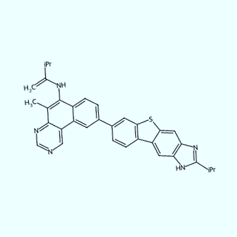 C=C(Nc1c(C)c2ncncc2c2cc(-c3ccc4c(c3)sc3cc5nc(C(C)C)[nH]c5cc34)ccc12)C(C)C